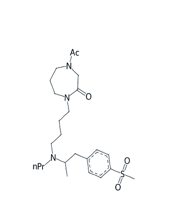 CCCN(CCCCN1CCCN(C(C)=O)CC1=O)C(C)Cc1ccc(S(C)(=O)=O)cc1